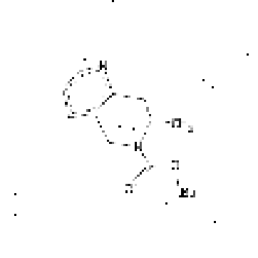 CC1Cc2ncccc2CN1C(=O)OC(C)(C)C